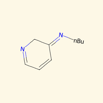 CCCCN=C1C=CC=NC1